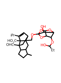 CCC(O)OC1C2OC3(OCC45CC6C(C)CCC6C6(C=O)CC4C=C(C(C)C)C65C(=O)O)OC2OC1C3O